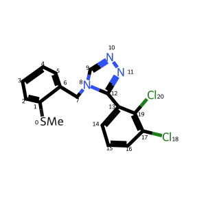 CSc1ccccc1Cn1cnnc1-c1cccc(Cl)c1Cl